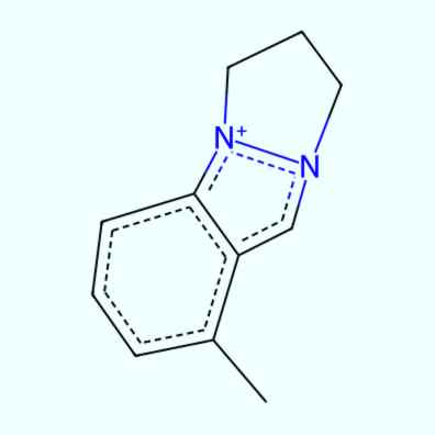 Cc1cccc2c1cn1[n+]2CCC1